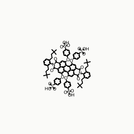 CC(C)(C)CCc1cccc(CCC(C)(C)C)c1N1C(=O)c2cc(Oc3ccc(S(=O)(=O)O)cc3)c3c4c(Oc5ccc(S(=O)(=O)O)cc5)cc5c6c(cc(Oc7ccc(S(=O)(=O)O)cc7)c(c7c(Oc8ccc(S(=O)(=O)O)cc8)cc(c2c37)C1=O)c64)C(=O)N(c1c(CCC(C)(C)C)cccc1CCC(C)(C)C)C5=O